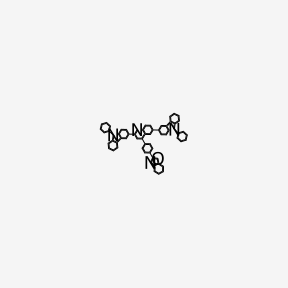 c1ccc(-n2c3ccccc3c3cc(-c4ccc5nc(-c6ccc7c(c6)c6ccccc6n7-c6ccccc6)cc(-c6ccc(-c7nc8ccccc8o7)cc6)c5c4)ccc32)cc1